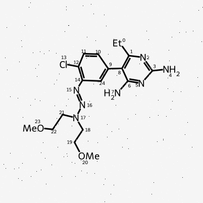 CCc1nc(N)nc(N)c1-c1ccc(Cl)c(N=NN(CCOC)CCOC)c1